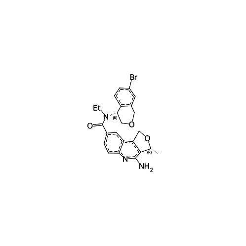 CCN(C(=O)c1ccc2nc(N)c3c(c2c1)CO[C@@H]3C)[C@H]1COCc2cc(Br)ccc21